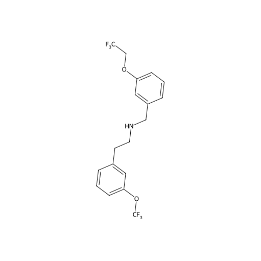 FC(F)(F)COc1cccc(CNCCc2cccc(OC(F)(F)F)c2)c1